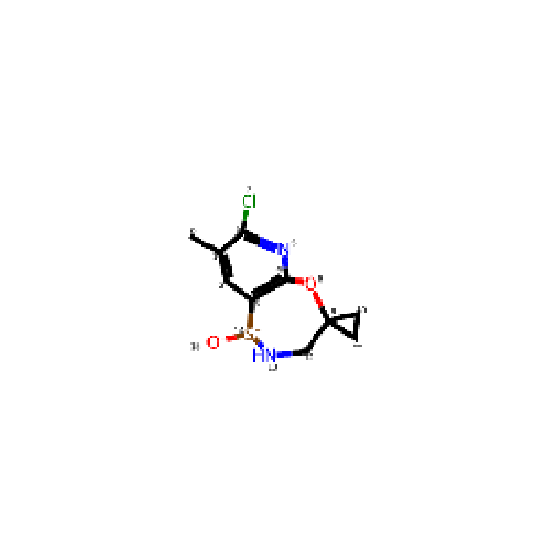 Cc1cc2c(nc1Cl)OC1(CC1)CN[S+]2[O-]